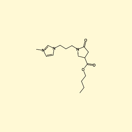 CCCCOC(=O)C1CC(=O)N(CCCn2cc[n+](C)c2)C1